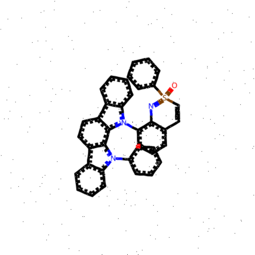 O=S1(c2ccccc2)=Nc2c(cccc2-n2c3ccccc3c3ccc4c5ccccc5n(-c5ccccc5)c4c32)C=C1